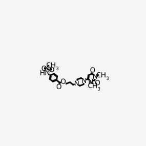 Cn1c(N2CCN(CCCOC(=O)c3ccc(NS(C)(=O)=O)cc3)CC2)cc(=O)n(C)c1=O